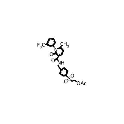 CC(=O)OCCS(=O)(=O)c1ccc(CNC(=O)c2ccc(C)n(-c3cccc(C(F)(F)F)c3)c2=O)cc1